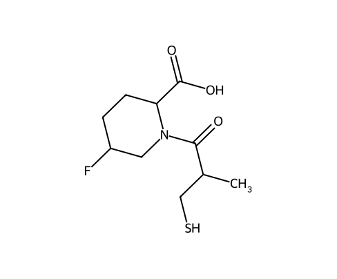 CC(CS)C(=O)N1CC(F)CCC1C(=O)O